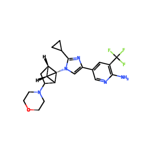 Nc1ncc(-c2cn([C@@]34C5C(N6CCOCC6)C[C@H]3[C@@H]54)c(C3CC3)n2)cc1C(F)(F)F